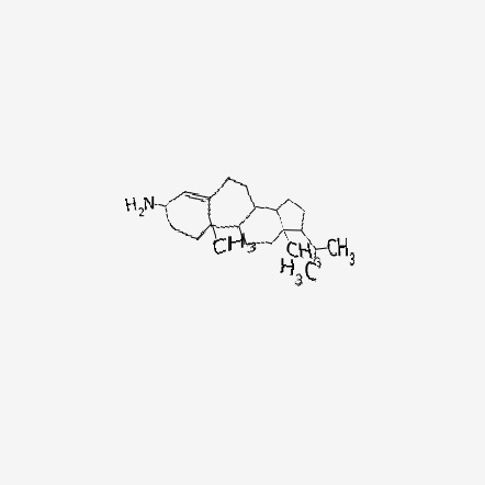 CC(C)C1CCC2C3CCC4=CC(N)CCC4(C)C3CCC12C